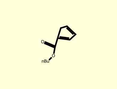 CCCCOC(=O)C1=CC=CC1